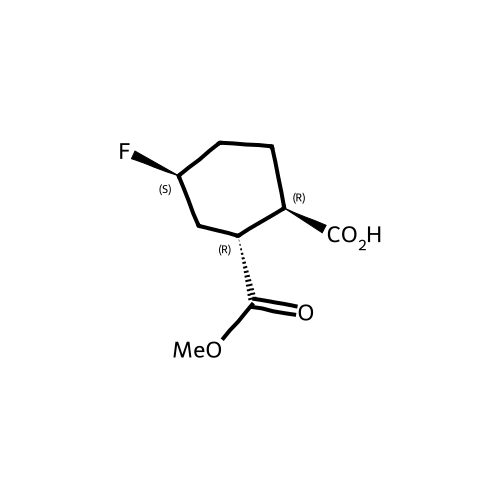 COC(=O)[C@@H]1C[C@@H](F)CC[C@H]1C(=O)O